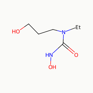 CCN(CCCO)C(=O)NO